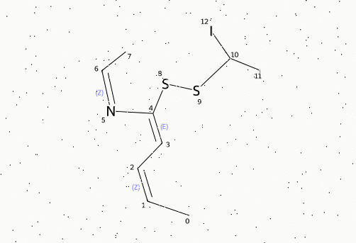 C\C=C/C=C(\N=C/C)SSC(C)I